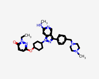 CCn1nc(OC2CCC(n3nc(-c4ccc(CN5CCN(C)CC5)cc4)c4cnc(NC)cc43)CC2)ccc1=O